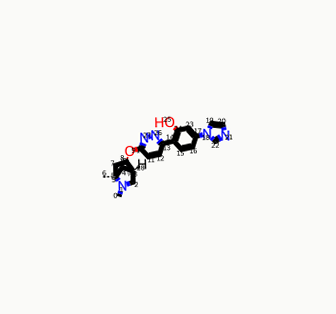 CN1C[C@H]2C[C@]1(C)C[C@@H]2Oc1ccc(-c2ccc(-n3ccnc3)cc2O)nn1